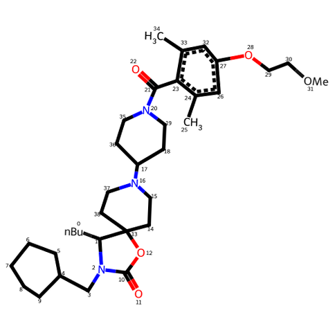 CCCCC1N(CC2CCCCC2)C(=O)OC12CCN(C1CCN(C(=O)c3c(C)cc(OCCOC)cc3C)CC1)CC2